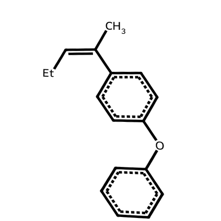 [CH2]C/C=C(/C)c1ccc(Oc2ccccc2)cc1